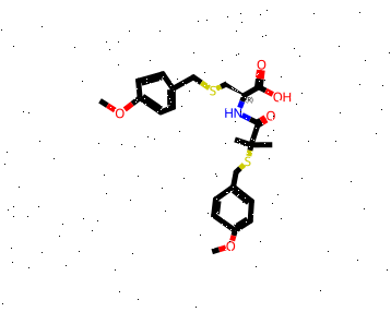 COc1ccc(CSC[C@H](NC(=O)C(C)(C)SCc2ccc(OC)cc2)C(=O)O)cc1